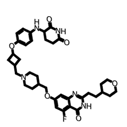 O=C1CCC(Nc2ccc(OC3CC(CN4CCC(COc5cc(F)c6c(=O)[nH]c(CCC7CCOCC7)nc6c5)CC4)C3)cc2)C(=O)N1